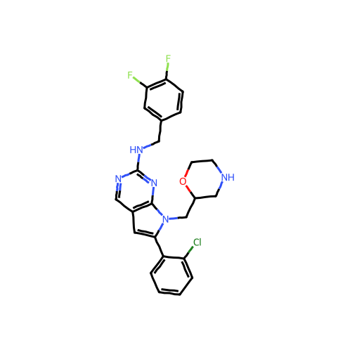 Fc1ccc(CNc2ncc3cc(-c4ccccc4Cl)n(CC4CNCCO4)c3n2)cc1F